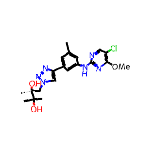 COc1nc(Nc2cc(C)cc(-c3cn(C[C@](C)(O)C(C)(C)O)nn3)c2)ncc1Cl